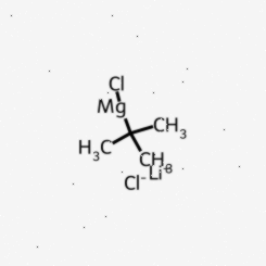 C[C](C)(C)[Mg][Cl].[Cl-].[Li+]